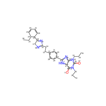 CCCn1c(=O)c2[nH]c(-c3ccc(CCC4=NCC(C5C=CC=CC5CC)=N4)cc3)nc2n(CCC)c1=O